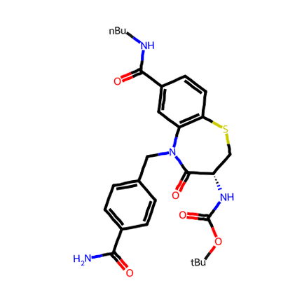 CCCCNC(=O)c1ccc2c(c1)N(Cc1ccc(C(N)=O)cc1)C(=O)[C@@H](NC(=O)OC(C)(C)C)CS2